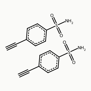 C#Cc1ccc(S(N)(=O)=O)cc1.C#Cc1ccc(S(N)(=O)=O)cc1